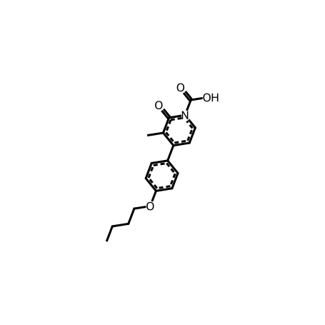 CCCCOc1ccc(-c2ccn(C(=O)O)c(=O)c2C)cc1